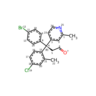 Cc1cc([C@@](CC=O)(c2ccc(Br)cc2)c2ccc(Cl)cc2C)ccn1